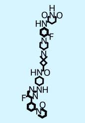 O=C1CCC(Nc2ccc(N3CCC(N4CC5(CC(C(=O)N[C@H]6CC[C@H](Nc7ncc(F)c(-c8cccc(-n9ccccc9=O)c8)n7)CC6)C5)C4)CC3)c(F)c2)C(=O)N1